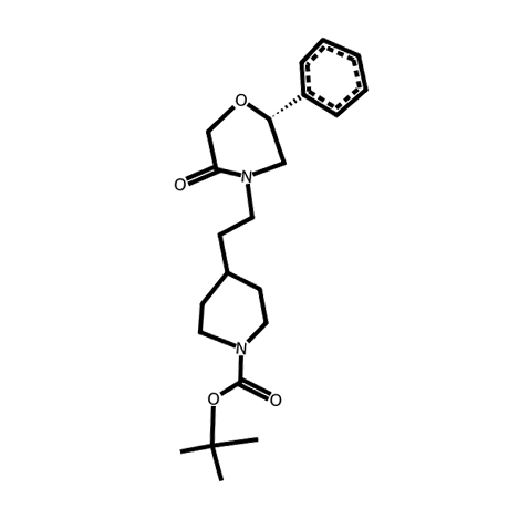 CC(C)(C)OC(=O)N1CCC(CCN2C[C@@H](c3ccccc3)OCC2=O)CC1